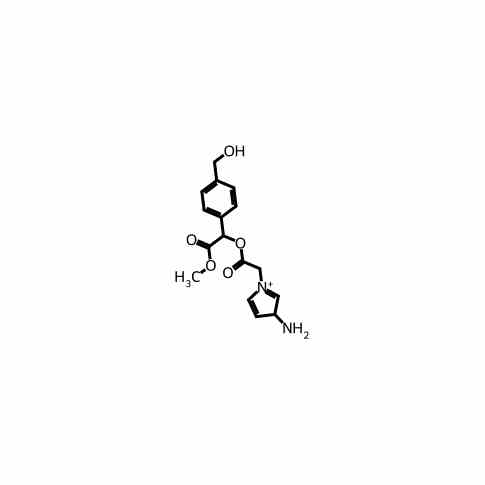 COC(=O)C(OC(=O)C[N+]1=CC(N)C=C1)c1ccc(CO)cc1